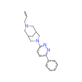 C=CCN1CC2CC(C1)CN(c1ccc(-c3ccccc3)nn1)C2